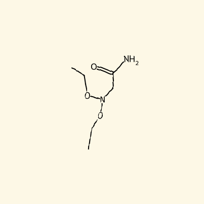 CCON(CC(N)=O)OCC